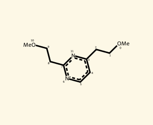 COCCc1ccnc(CCOC)n1